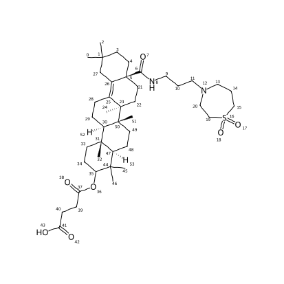 CC1(C)CC[C@]2(C(=O)NCCCN3CCCS(=O)(=O)CC3)CC[C@]3(C)C(=C2C1)CC[C@@H]1[C@@]2(C)CCC(OC(=O)CCC(=O)O)C(C)(C)[C@@H]2CC[C@]13C